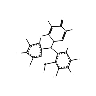 O=C1C(I)=CC2C(=C1Cl)Oc1c(cc(I)c(O)c1I)C2c1c(Br)c(Br)c(Br)c(Br)c1C(=O)O